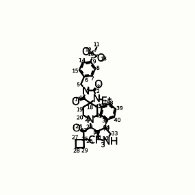 CCN1C(=O)N(Cc2ccc(S(C)(=O)=O)cc2)C(=O)C12CCN(C(C(=O)C1(C(F)(F)F)CCC1)[C@@H]1CNC[C@@H]1c1ccccc1)CC2